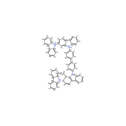 CC1c2c(c3ccccc3n2-c2ccc(-c3ccc(-n4c5ccccc5c5ccc(-n6c7ccccc7c7ccccc76)cc54)cc3)cc2)C=C[C@@H]1n1c2ccccc2c2ccccc21